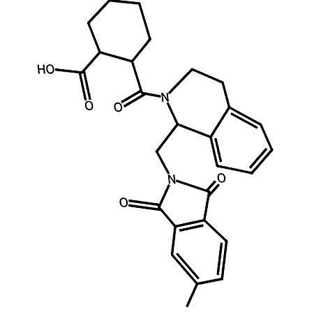 Cc1ccc2c(c1)C(=O)N(CC1c3ccccc3CCN1C(=O)C1CCCCC1C(=O)O)C2=O